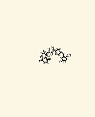 N#Cc1ccc(F)cc1Oc1ccc(NC(=O)NC2[C@H]3COc4c(F)ccc(F)c4[C@@H]23)nc1